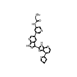 CC(C)(C)CC(=O)Nc1cncc(-c2cnc3[nH]nc(-c4nc5c(-c6cccs6)ccnc5[nH]4)c3c2)c1